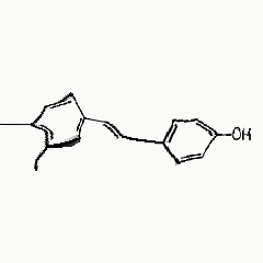 Cc1ccc(C=Cc2ccc(O)cc2)cc1C